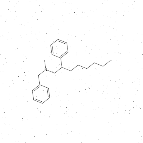 CCCCCCC(CN(C)Cc1ccccc1)c1ccccc1